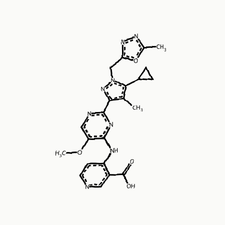 COc1cnc(-c2nn(Cc3nnc(C)o3)c(C3CC3)c2C)nc1Nc1ccncc1C(=O)O